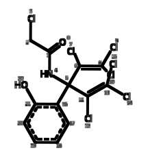 O=C(CCl)NC(C(Cl)=C(Cl)Cl)(C(Cl)=C(Cl)Cl)c1ccccc1O